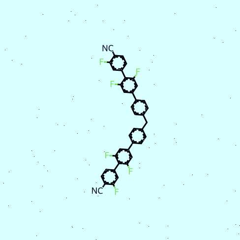 N#Cc1ccc(-c2c(F)cc(-c3ccc(Cc4ccc(-c5cc(F)c(-c6ccc(C#N)c(F)c6)c(F)c5)cc4)cc3)cc2F)cc1F